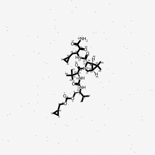 CC(C)[C@@H](COC(=O)OCC1CC1)NC(=O)N[C@H](C(=O)N1C[C@H]2[C@@H]([C@H]1C(=O)NC(CC1CC1)C(=O)C(N)=O)C2(C)C)C(C)(C)C